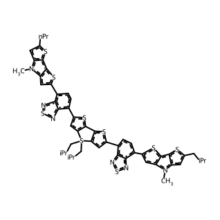 CCCc1cc2c(s1)c1sc(-c3ccc(-c4cc5c(s4)-c4sc(-c6ccc(-c7cc8c(s7)c7sc(CC(C)C)cc7n8C)c7nsnc67)cc4S5(CC(C)C)CC(C)C)c4nsnc34)cc1n2C